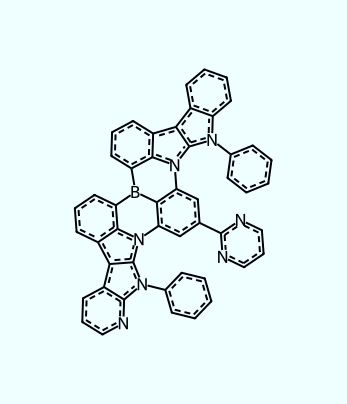 c1ccc(-n2c3ccccc3c3c4cccc5c4n(c32)-c2cc(-c3ncccn3)cc3c2B5c2cccc4c5c6cccnc6n(-c6ccccc6)c5n-3c24)cc1